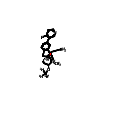 [2H]C([2H])([2H])O[C@H]1CC[C@@]2(Cc3ccc(-c4cnccc4F)cc3[C@]23N=C(N)OC3([2H])[2H])C[C@@H]1C